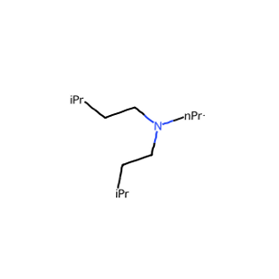 CC[CH]N(CCC(C)C)CCC(C)C